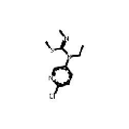 CCN(/C(=N/C)SC)c1ccc(Cl)nc1